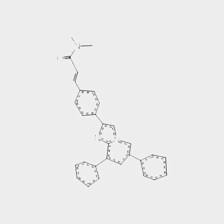 CN(C)C(=O)C=Cc1ccc(-c2cn3cc(-c4ccccc4)cc(-c4ccccc4)c3n2)cc1